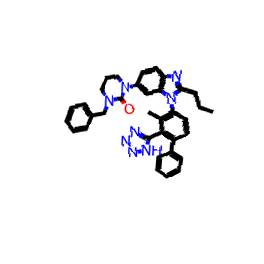 CCCc1nc2ccc(N3CCCN(Cc4ccccc4)C3=O)cc2n1-c1ccc(-c2ccccc2)c(-c2nnn[nH]2)c1C